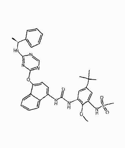 COc1c(NC(=O)Nc2ccc(Oc3ncnc(N[C@@H](C)c4ccccc4)n3)c3ccccc23)cc(C(C)(C)C)cc1NS(C)(=O)=O